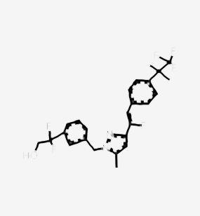 Cc1cc(/C(F)=C/c2ccc(C(C)(C)C(F)(F)F)cc2)nn1Cc1cccc(C(F)(F)CO)c1